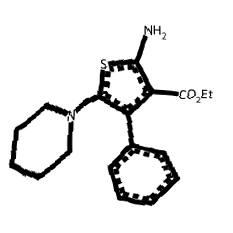 CCOC(=O)c1c(N)sc(N2CCCCC2)c1-c1ccccc1